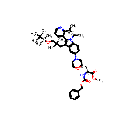 CCn1c(-c2cccnc2C(C)C)c(CC(C)(C)CO[Si](C)(C)C(C)(C)C)c2cc(N3CCO[C@@H](C[C@H](NC(=O)OCc4ccccc4)C(=O)OC)C3)ccc21